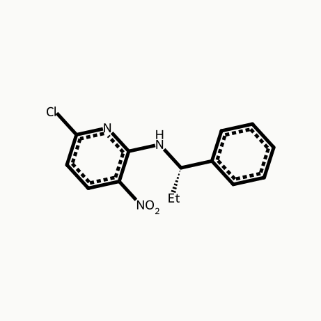 CC[C@H](Nc1nc(Cl)ccc1[N+](=O)[O-])c1ccccc1